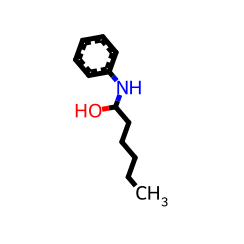 CCCCCC(O)Nc1ccccc1